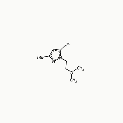 CC(C)c1cc(C(C)(C)C)nn1CCN(C)C